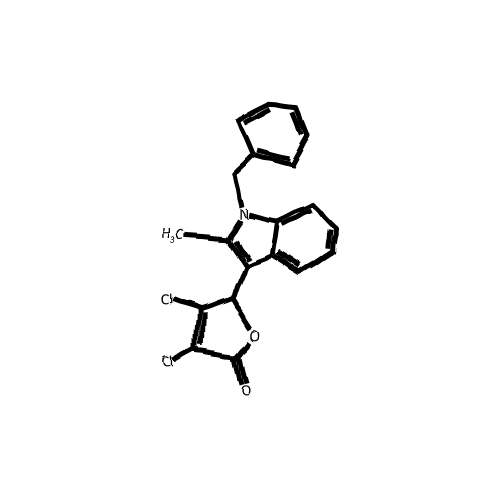 Cc1c(C2OC(=O)C(Cl)=C2Cl)c2ccccc2n1Cc1ccccc1